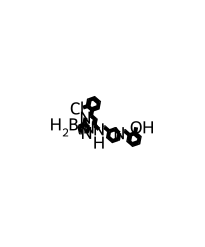 Bc1cnn2c(NCC3CCCN(Cc4ccccc4O)C3)cc(-c3ccccc3Cl)nc12